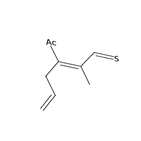 C=CCC(C(C)=O)=C(C)C=S